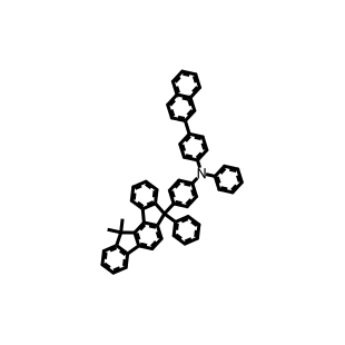 CC1(C)c2ccccc2-c2ccc3c(c21)-c1ccccc1C3(c1ccccc1)c1ccc(N(c2ccccc2)c2ccc(-c3ccc4ccccc4c3)cc2)cc1